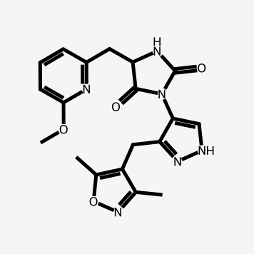 COc1cccc(CC2NC(=O)N(c3c[nH]nc3Cc3c(C)noc3C)C2=O)n1